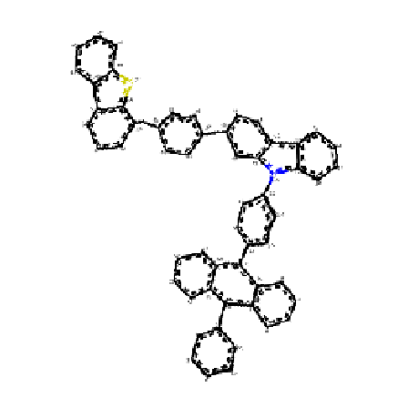 c1ccc(-c2c3ccccc3c(-c3ccc(-n4c5ccccc5c5ccc(-c6ccc(-c7cccc8c7sc7ccccc78)cc6)cc54)cc3)c3ccccc23)cc1